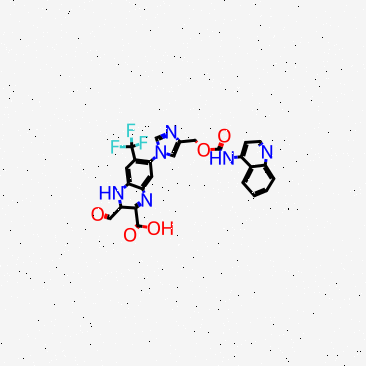 O=CC1Nc2cc(C(F)(F)F)c(-n3cnc(COC(=O)Nc4ccnc5ccccc45)c3)cc2N=C1C(=O)O